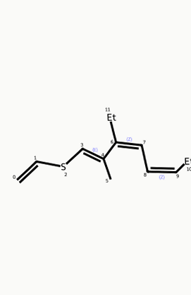 C=CS/C=C(C)/C(=C\C=C/CC)CC